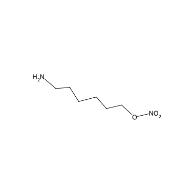 NCCCCCCO[N+](=O)[O-]